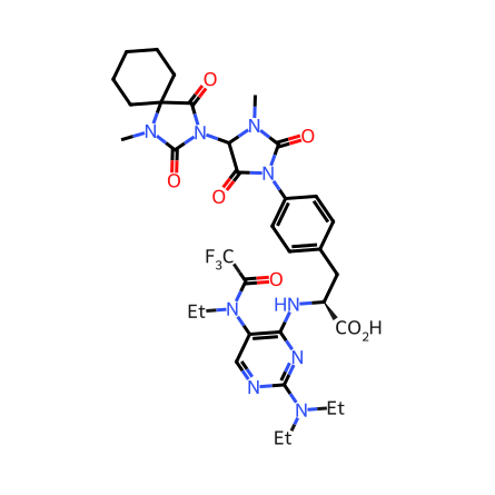 CCN(CC)c1ncc(N(CC)C(=O)C(F)(F)F)c(N[C@@H](Cc2ccc(N3C(=O)C(N4C(=O)N(C)C5(CCCCC5)C4=O)N(C)C3=O)cc2)C(=O)O)n1